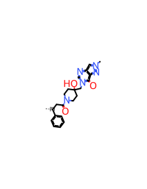 C[C@H](CC(=O)N1CCC(O)(Cn2cnc3cn(C)nc3c2=O)CC1)c1ccccc1